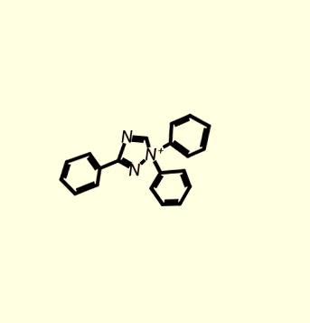 C1=NC(c2ccccc2)=N[N+]1(c1ccccc1)c1ccccc1